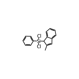 CC1=Cc2ccccc2C1[Si](Cl)(Cl)c1ccccc1